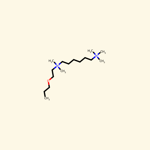 CCCOCC[N+](C)(C)CCCCCC[N+](C)(C)C